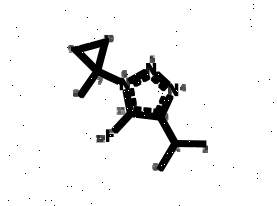 CC(C)c1nnn(C2(C)CC2)c1F